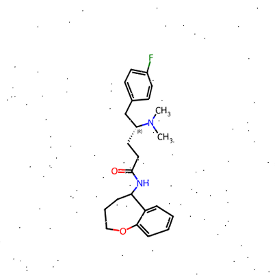 CN(C)[C@H](CCC(=O)NC1CCCOc2ccccc21)Cc1ccc(F)cc1